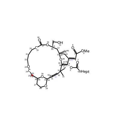 CCCCCCCC(=O)O[C@H]1/C(=C/C(=O)OC)C[C@H]2C[C@H](CO)OC(=O)CCCCOCC[C@@H]3CCO[C@H](/C=C/C(C)(C)[C@]1(O)O2)O3